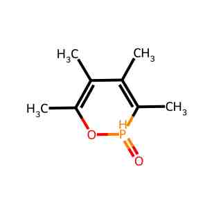 CC1=C(C)C(C)=C(C)[PH](=O)O1